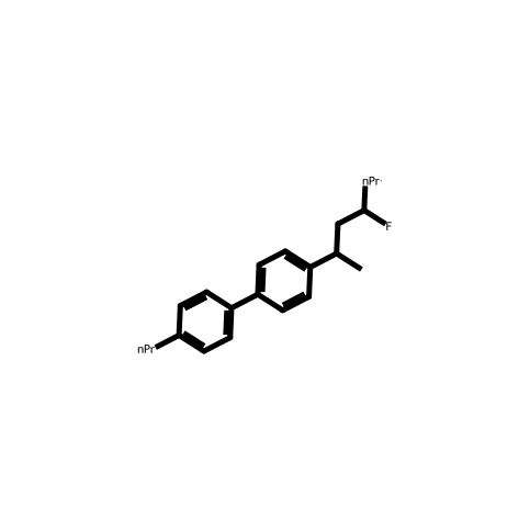 CC[CH]C(F)CC(C)c1ccc(-c2ccc(CCC)cc2)cc1